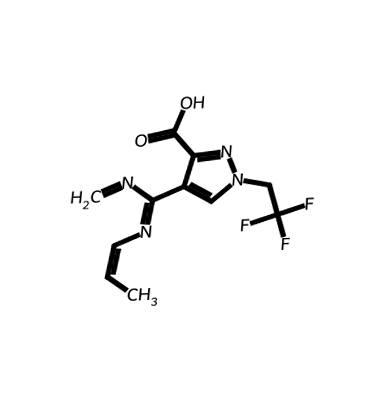 C=N/C(=N\C=C/C)c1cn(CC(F)(F)F)nc1C(=O)O